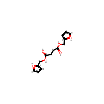 O=C(CCC(=O)OCc1ccco1)OCc1ccco1